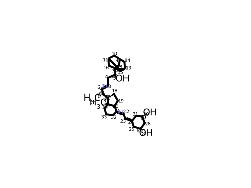 C[C@H](/C=C/C[C@H](O)C12CC3CC(CC(C3)C1)C2)[C@H]1CCC2/C(=C/C=C3C[C@@H](O)C[C@H](O)C3)CCC[C@@]21C